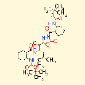 CC(C)C[C@H](NC(=O)[C@@H]1CCCC[C@@H]1NC(=O)OC(C)(C)C)C(=O)c1nn(C(=O)[C@@H]2CCCC[C@@H]2NC(=O)OC(C)(C)C)c(=O)o1